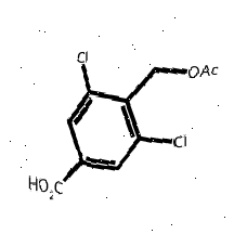 CC(=O)OCc1c(Cl)cc(C(=O)O)cc1Cl